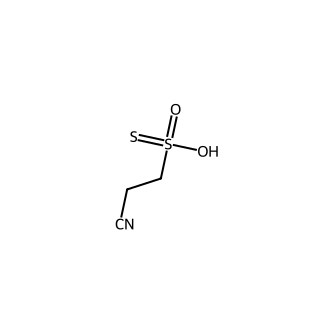 N#CCCS(=O)(O)=S